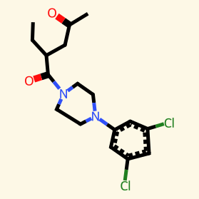 CCC(CC(C)=O)C(=O)N1CCN(c2cc(Cl)cc(Cl)c2)CC1